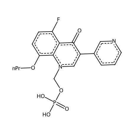 CCCOc1ccc(F)c2c(=O)c(-c3cccnc3)cn(COP(=O)(O)O)c12